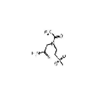 CS(=O)(=O)CCN(CC(N)=S)C(=O)C(F)(F)F